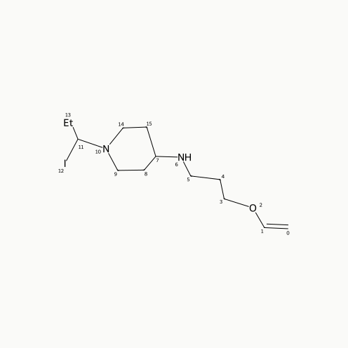 C=COCCCNC1CCN(C(I)CC)CC1